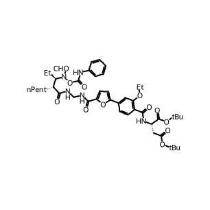 CCCCC[C@@H](C(=O)NCNC(=O)c1ccc(-c2ccc(C(=O)N[C@@H](CC(=O)OC(C)(C)C)C(=O)OC(C)(C)C)c(OCC)c2)o1)[C@@H](CC)N(C=O)OC(=O)Nc1ccccc1